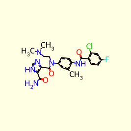 Cc1cc(N(CCN(C)C)C(=O)c2nc[nH]c2C(N)=O)ccc1NC(=O)c1ccc(F)cc1Cl